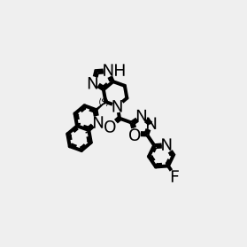 O=C(c1nnc(-c2ccc(F)cn2)o1)N1CCc2[nH]cnc2[C@@H]1c1ccc2ccccc2n1